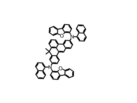 CC1(C)c2cc(N(c3cccc4ccccc34)c3cccc4c3oc3ccccc34)ccc2-c2cc3ccc(N(c4cccc5ccccc45)c4cccc5c4oc4ccccc45)cc3c3cccc1c23